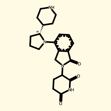 O=C1CCC(N2Cc3c(cccc3N3CCC[C@@H]3C3CCNCC3)C2=O)C(=O)N1